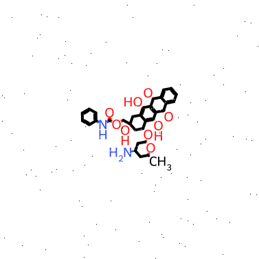 C[C@H]1C[C@@H](N)C[C@H](O[C@H]2C[C@](O)(COC(=O)Nc3ccccc3)Cc3c(O)c4c(c(O)c32)C(=O)c2ccccc2C4=O)O1